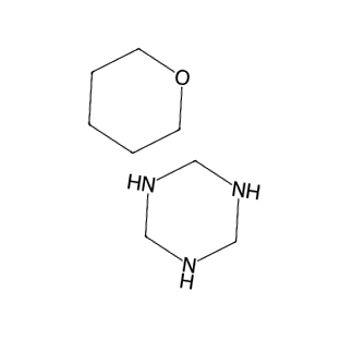 C1CCOCC1.C1NCNCN1